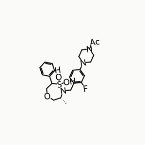 CC(=O)N1CCN(c2ccc(CN3[C@H](C)COCC(c4ccccc4)S3(O)O)c(F)c2)CC1